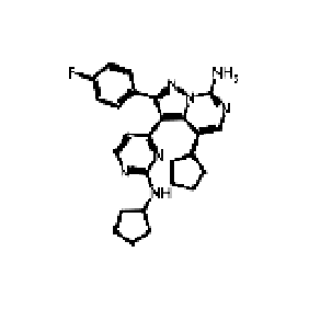 Nc1ncc(C2CCCC2)c2c(-c3ccnc(NC4CCCC4)n3)c(-c3ccc(F)cc3)nn12